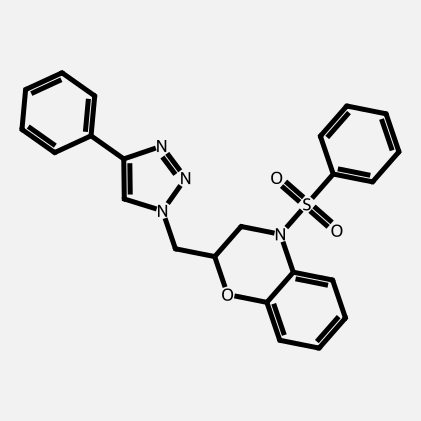 O=S(=O)(c1ccccc1)N1CC(Cn2cc(-c3ccccc3)nn2)Oc2ccccc21